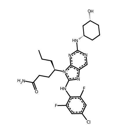 CCC[C@H](CCC(N)=O)n1c(Nc2c(F)cc(Cl)cc2F)nc2cnc(N[C@H]3CCC[C@@H](O)C3)nc21